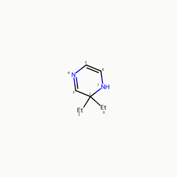 CCC1(CC)C=NC=CN1